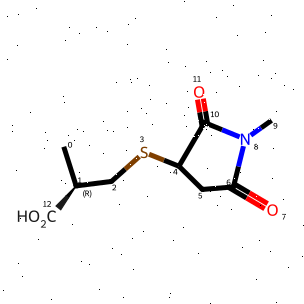 C[C@@H](CSC1CC(=O)N(C)C1=O)C(=O)O